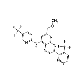 COCc1cc(Nc2ccc(C(F)(F)F)cn2)c2ncc(-c3nnccc3C(F)(F)F)nc2n1